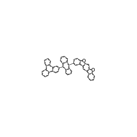 c1ccc2c(c1)oc1cc3oc4ccc(-c5c6ccccc6c(-c6ccc7c8ccccc8c8ccccc8c7c6)c6ccccc56)cc4c3cc12